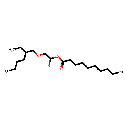 CCCCCCCCCC(=O)OC(N)COCC(CC)CCCC